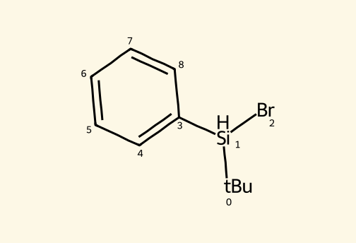 CC(C)(C)[SiH](Br)c1ccccc1